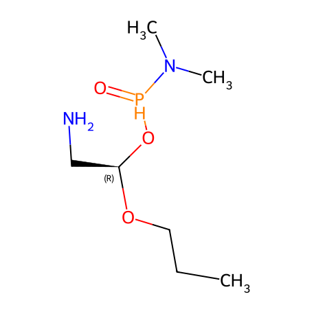 CCCO[C@@H](CN)O[PH](=O)N(C)C